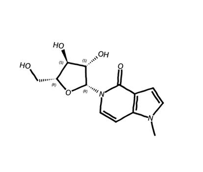 Cn1ccc2c(=O)n([C@@H]3O[C@H](CO)[C@@H](O)[C@@H]3O)ccc21